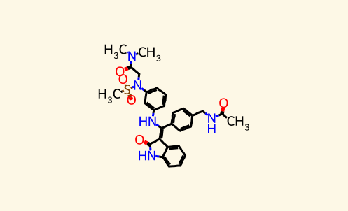 CC(=O)NCc1ccc(/C(Nc2cccc(N(CC(=O)N(C)C)S(C)(=O)=O)c2)=C2/C(=O)Nc3ccccc32)cc1